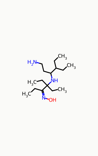 CCC(=NO)C(CC)(CC)NC(CCN)C(CC)CC